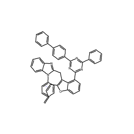 C=C/C=C\c1oc2cccc(-c3nc(-c4ccccc4)nc(-c4ccc(-c5ccccc5)cc4)n3)c2c1Cc1nc2ccccc2n1-c1ccccc1